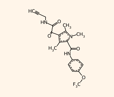 C#CCNC(=O)C(=O)c1c(C)c(C(=O)Nc2ccc(OC(F)(F)F)cc2)n(C)c1C